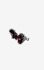 CC(C)[C@@H](CN1CCC[C@H]1C(=O)N1CCC[C@H]1C(=O)OC1CCc2ccccc21)N(C)C(=O)[C@@H](NC(=O)[C@H]1CCCCN1C)C(C)(C)C